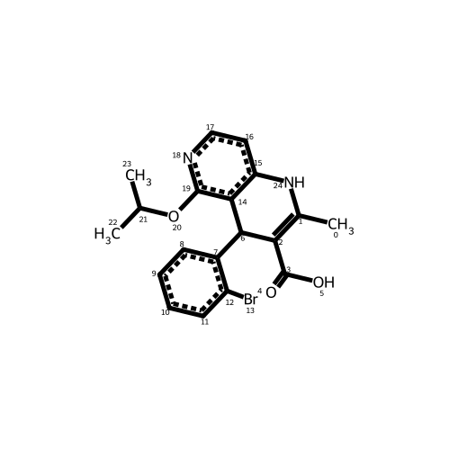 CC1=C(C(=O)O)C(c2ccccc2Br)c2c(ccnc2OC(C)C)N1